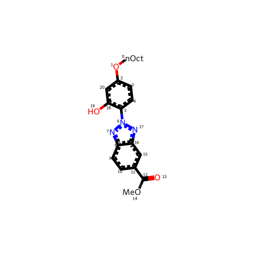 CCCCCCCCOc1ccc(-n2nc3ccc(C(=O)OC)cc3n2)c(O)c1